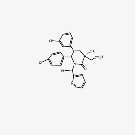 CC[C@H](c1ccccn1)N1C(=O)[C@](C)(CC(=O)O)C[C@H](c2cccc(Cl)c2)[C@H]1c1ccc(Cl)cc1